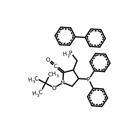 CC(C)(C)ON1CC(P(c2ccccc2)c2ccccc2)C(CP)C1=C=O.c1ccc(-c2ccccc2)cc1